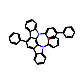 c1ccc(-c2ccc(-n3c4ccccc4c4c(-c5ccccc5)cc5c6ccccc6n(-c6ccccc6)c5c43)cc2)cc1